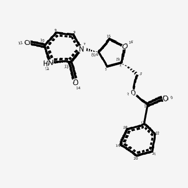 O=C(OC[C@@H]1C[C@H](n2ccc(=O)[nH]c2=O)CO1)c1ccccc1